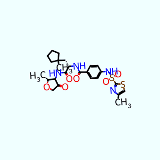 Cc1csc(S(=O)(=O)Nc2ccc(C(=O)N[C@@H](CC3(C)CCCC3)C(=O)NC3C(=O)CO[C@H]3C)cc2)n1